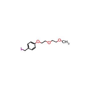 COCCOCCOc1ccc(CI)cc1